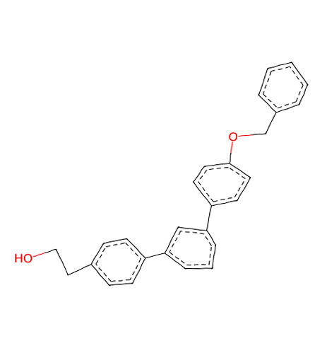 OCCc1ccc(-c2cccc(-c3ccc(OCc4ccccc4)cc3)c2)cc1